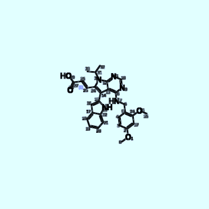 COc1ccc(CNc2ncnc3c2c(-c2cc4ccccc4[nH]2)c(/C=C/C(=O)O)n3C(C)C)c(OC)c1